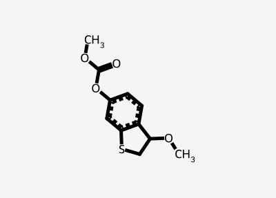 COC(=O)Oc1ccc2c(c1)SCC2OC